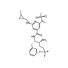 CC1CC1CNc1cc(C(=O)N[C@@H](Cc2ccccc2)[C@@H](N)CCC(F)(F)F)cc(N(C)S(C)(=O)=O)n1